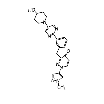 Cn1cc(-n2ccc(=O)c(Cc3cccc(-c4ncc(N5CCC(O)CC5)cn4)c3)n2)cn1